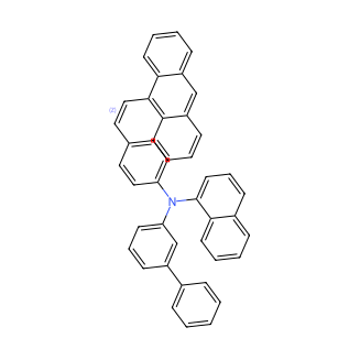 C(=C/c1c2ccccc2cc2ccccc12)/c1ccc(N(c2cccc(-c3ccccc3)c2)c2cccc3ccccc23)cc1